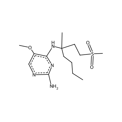 CCCCC(C)(CCS(C)(=O)=O)Nc1nc(N)ncc1OC